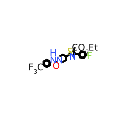 CCOC(=O)c1sc(C2CCN(C(=O)Nc3ccc(C(F)(F)F)cc3)CC2)nc1-c1ccc(F)cc1